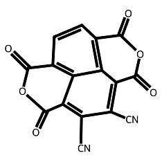 N#Cc1c(C#N)c2c3c(ccc4c3c1C(=O)OC4=O)C(=O)OC2=O